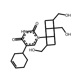 O=c1[nH]c(=O)n(C23C4C5C6(CO)C(C2C46CO)C53CO)cc1C1CC=CCC1